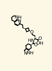 O=C(N[C@@H](CCO[C@H]1C[C@H](CCc2ccc3c(n2)NCCC3)C1)C(=O)O)[C@@H]1CCc2cn[nH]c2C1